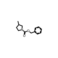 CC1CCN(C(=O)OCc2ccccc2)C1